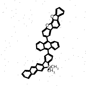 C[Si]1(C)c2ccc(-c3c4ccccc4c(-c4ccc5oc6c(ccc7c8ccccc8oc76)c5c4)c4ccccc34)cc2-c2cc3cc4ccccc4cc3cc21